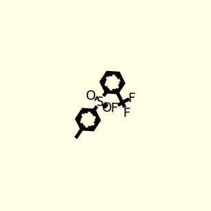 Cc1ccc(S(=O)(=O)c2ccccc2C(F)(F)F)cc1